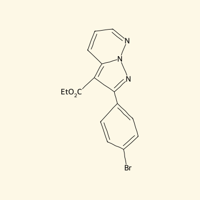 CCOC(=O)c1c(-c2ccc(Br)cc2)nn2ncccc12